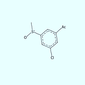 CC(=O)c1cc(Cl)cc([S+](C)[O-])c1